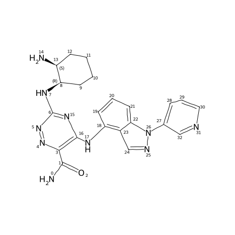 NC(=O)c1nnc(N[C@@H]2CCCC[C@@H]2N)nc1Nc1cccc2c1cnn2-c1cccnc1